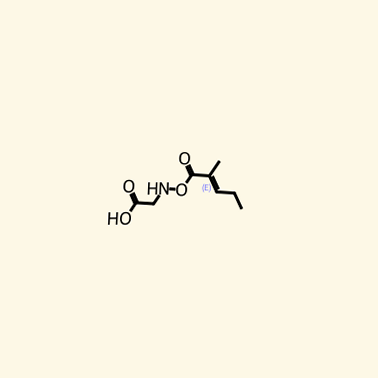 CC/C=C(\C)C(=O)ONCC(=O)O